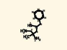 CC(N)(CN)CC(S)Cc1ccccc1